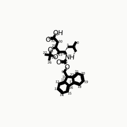 CC(C)C[C@H](NC(=O)OCC1c2ccccc2-c2ccccc21)C1OC(C)(C)OC1CC(=O)O